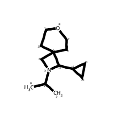 CC(C)N1CC2(CCOCC2)C1C1CC1